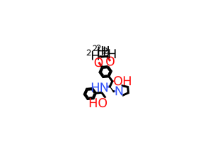 [2H]C1([2H])Oc2ccc([C@@H](O)[C@@H](CN3CCCC3)NC(CO)c3ccccc3)cc2OC1([2H])[2H]